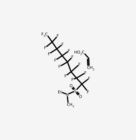 C=CC(=O)O.CCN(C)S(=O)(=O)C(F)(F)C(F)(F)C(F)(F)C(F)(F)C(F)(F)C(F)(F)C(F)(F)C(F)(F)F